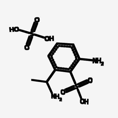 CC(N)c1cccc(N)c1S(=O)(=O)O.O=S(=O)(O)O